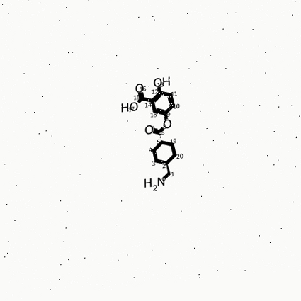 NC[C@H]1CC[C@H](C(=O)Oc2ccc(O)c(C(=O)O)c2)CC1